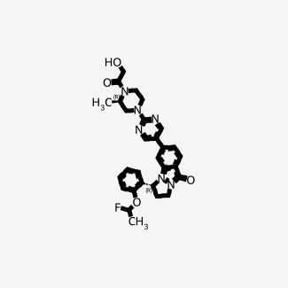 CC(F)Oc1ccccc1[C@H]1CCn2c(=O)c3ccc(-c4cnc(N5CCN(C(=O)CO)[C@H](C)C5)nc4)cc3n21